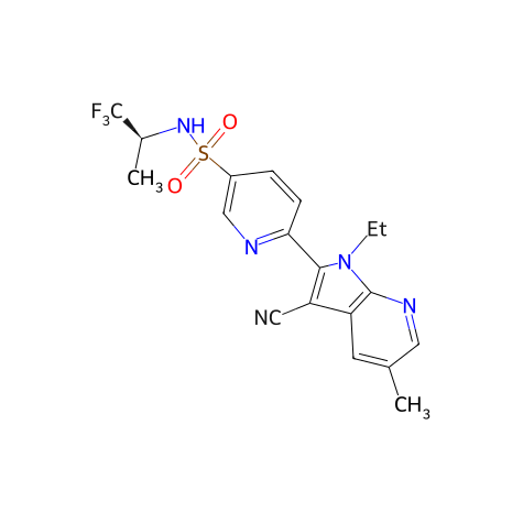 CCn1c(-c2ccc(S(=O)(=O)N[C@@H](C)C(F)(F)F)cn2)c(C#N)c2cc(C)cnc21